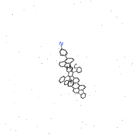 Cc1ccccc1-c1c2cc3c(cc2c(-c2ccccc2C)c2c4ccc5c6ccc7c8c(ccc(c9ccc(c12)c4c95)c86)-c1ccccc1-7)c1ccc(-c2ccc(C#N)cc2)c2cccc3c21